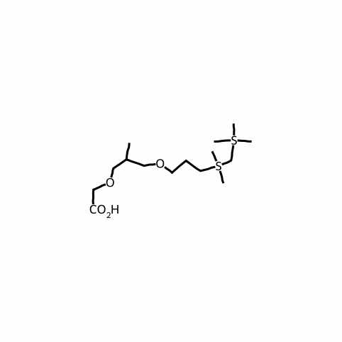 CC(COCCCS(C)(C)CS(C)(C)C)COCC(=O)O